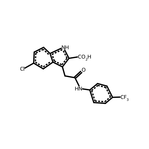 O=C(Cc1c(C(=O)O)[nH]c2ccc(Cl)cc12)Nc1ccc(C(F)(F)F)cc1